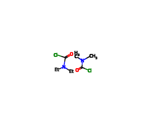 CCN(CC)C(=O)Cl.CN(C)C(=O)Cl